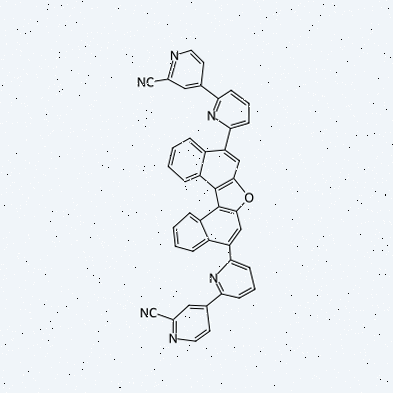 N#Cc1cc(-c2cccc(-c3cc4oc5cc(-c6cccc(-c7ccnc(C#N)c7)n6)c6ccccc6c5c4c4ccccc34)n2)ccn1